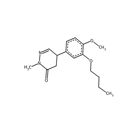 CCCCOc1cc(C2C=NN(C)C(=O)C2)ccc1OC